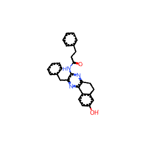 O=C(CCc1ccccc1)Nc1nc2c(nc1Cc1ccccc1)-c1ccc(O)cc1CC2